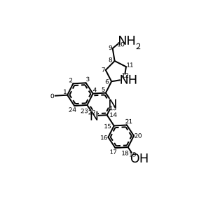 Cc1ccc2c(C3CC(CN)CN3)nc(-c3ccc(O)cc3)nc2c1